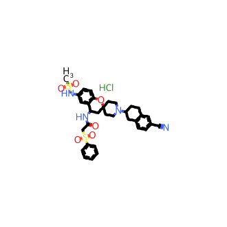 CS(=O)(=O)Nc1ccc2c(c1)C(NC(=O)CS(=O)(=O)c1ccccc1)CC1(CCN(C3CCc4cc(C#N)ccc4C3)CC1)O2.Cl